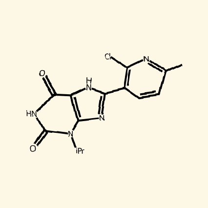 Cc1ccc(-c2nc3c([nH]2)c(=O)[nH]c(=O)n3C(C)C)c(Cl)n1